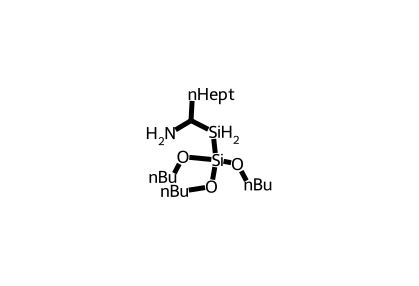 CCCCCCCC(N)[SiH2][Si](OCCCC)(OCCCC)OCCCC